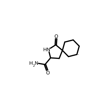 NC(=O)C1CC2(C[CH]CCC2)C(=O)N1